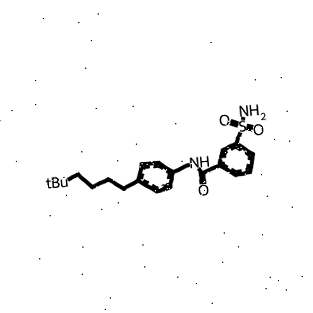 CC(C)(C)CCCCc1ccc(NC(=O)c2cccc(S(N)(=O)=O)c2)cc1